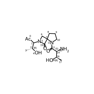 CC(=O)C([C@@H](C)O)N1CC2(CCCN2C(=O)[C@@H](N)[C@@H](C)O)C1=O